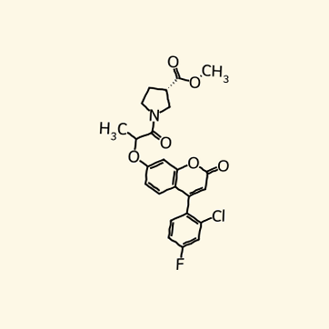 COC(=O)[C@H]1CCN(C(=O)C(C)Oc2ccc3c(-c4ccc(F)cc4Cl)cc(=O)oc3c2)C1